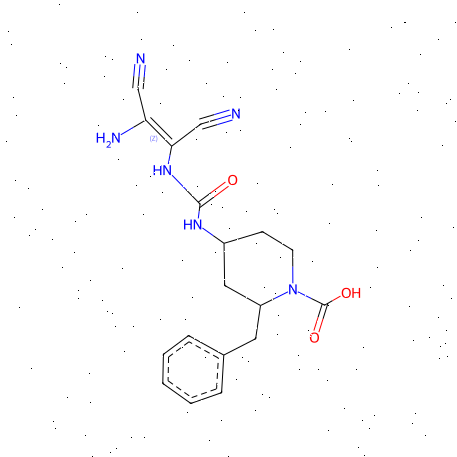 N#C/C(N)=C(\C#N)NC(=O)NC1CCN(C(=O)O)C(Cc2ccccc2)C1